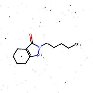 CCCCCn1[nH]c2c(c1=O)CCCC2